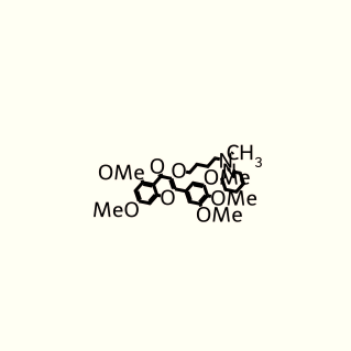 COc1cc(OC)c2c(=O)c(OCCCCN(C)N3CCCCC3)c(-c3cc(OC)c(OC)c(OC)c3)oc2c1